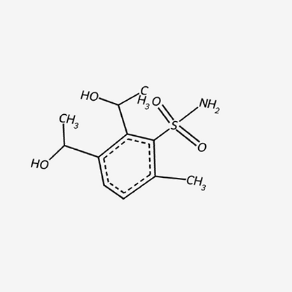 Cc1ccc(C(C)O)c(C(C)O)c1S(N)(=O)=O